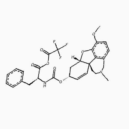 COc1ccc2c3c1O[C@H]1C[C@@H](OC(=O)N[C@@H](Cc4ccccc4)C(=O)OC(=O)C(F)(F)F)C=C[C@@]31CCN(C)C2